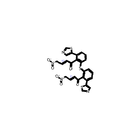 O=C(/C=C/C[N+](=O)[O-])c1c(Sc2cccc(-c3cncs3)c2C(=O)/C=C/C[N+](=O)[O-])cccc1-c1cncs1